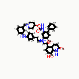 O=C(Nc1ccccc1-c1ccccc1)OC1CCN(Cc2cccc(Nc3ccc(CCNC[C@@H](O)c4ccc(O)c5[nH]c(=O)ccc45)cc3)c2)CC1